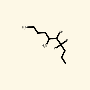 CCCC(F)(F)C(O)C(N)CCCN